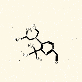 CCN(CC(C)C)c1ccc(C=O)cc1C(C)(C)C